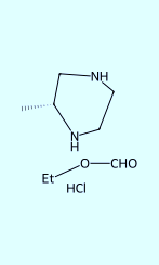 CCOC=O.C[C@@H]1CNCCN1.Cl